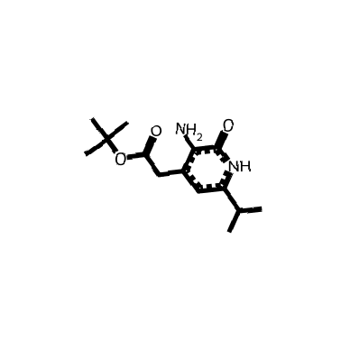 CC(C)c1cc(CC(=O)OC(C)(C)C)c(N)c(=O)[nH]1